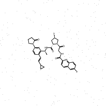 C[C@H](NC(=O)[C@@H]1C[C@@H](F)CN1C(=O)CNC(=O)c1ccc2cc(F)ccc2n1)c1cc(N2CCCC2=O)ccc1/C=C/C1CC1